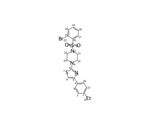 CCc1ccc(-c2csc(N3CCN(S(=O)(=O)c4ccccc4Br)CC3)n2)cc1